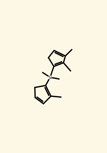 CC1=CCC([Si](C)(C)C2=C(C)C=CC2)=C1C